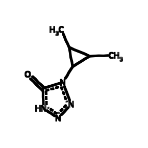 CC1C(C)C1n1nn[nH]c1=O